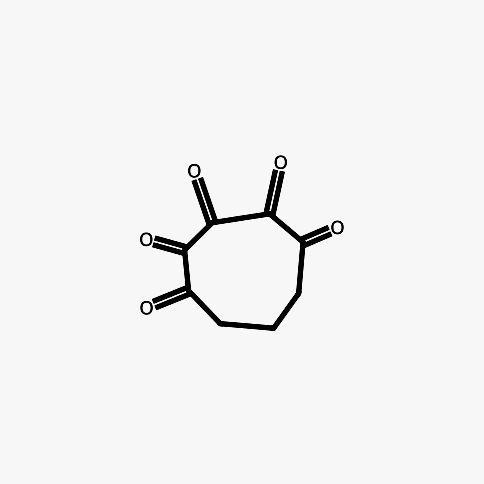 O=C1CCCC(=O)C(=O)C(=O)C1=O